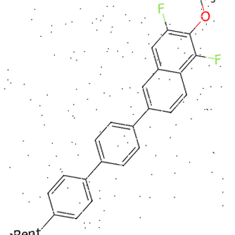 CCCCCc1ccc(-c2ccc(-c3ccc4c(F)c(OC(F)(F)F)c(F)cc4c3)cc2)cc1